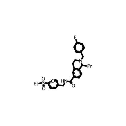 CCS(=O)(=O)c1ccc(CNC(=O)c2ccc3c(c2)CCN(Cc2ccc(F)cc2)C3C(C)C)cc1